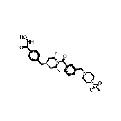 C[C@@H]1CN(Cc2ccc(C(=O)NO)cc2)C[C@H](C)N1C(=O)c1cccc(CN2CCN(S(C)(=O)=O)CC2)c1